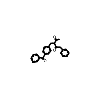 CC(=O)C(Cc1ccc(C(=O)c2ccccc2)cc1)C(=O)Cc1ccccc1